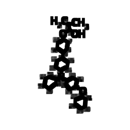 C=C(C)C(O)Oc1ccc(-c2ccc(N(c3ccccc3)c3ccc(Oc4ccccc4)cc3)cc2)cc1